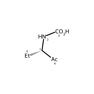 CC[C@H](NC(=O)O)C(C)=O